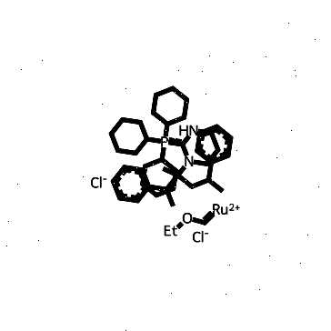 CC(CC(C)(C(C)c1ccccc1)N1CCCNC1=P(C1CCCCC1)(C1CCCCC1)C1CCCCC1)c1ccccc1.CCO[CH]=[Ru+2].[Cl-].[Cl-]